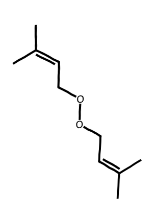 CC(C)=CCOOCC=C(C)C